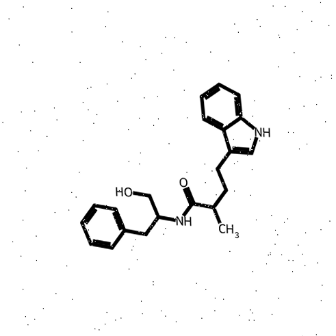 C[C](CCc1c[nH]c2ccccc12)C(=O)NC(CO)Cc1ccccc1